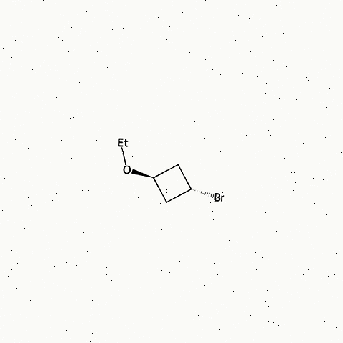 CCO[C@H]1C[C@H](Br)C1